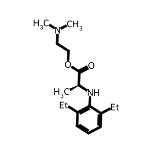 CCc1cccc(CC)c1N[C@@H](C)C(=O)OCCN(C)C